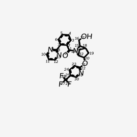 O=C(c1ccccc1-c1ncccn1)N1C(CO)C2CC(Oc3ccc(C(F)(F)F)cn3)C1C2